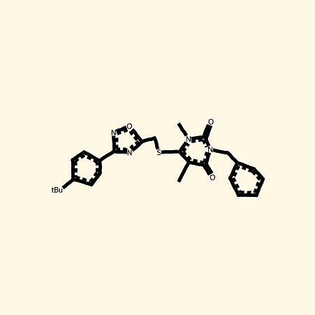 Cc1c(SCc2nc(-c3ccc(C(C)(C)C)cc3)no2)n(C)c(=O)n(Cc2ccccc2)c1=O